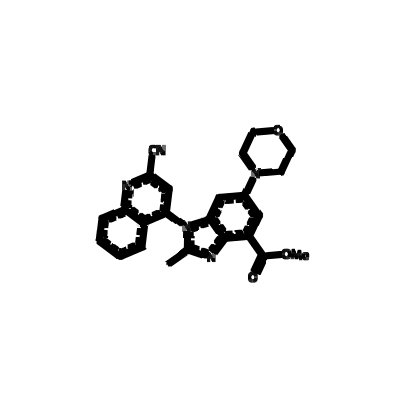 COC(=O)c1cc(N2CCOCC2)cc2c1nc(C)n2-c1cc(C#N)nc2ccccc12